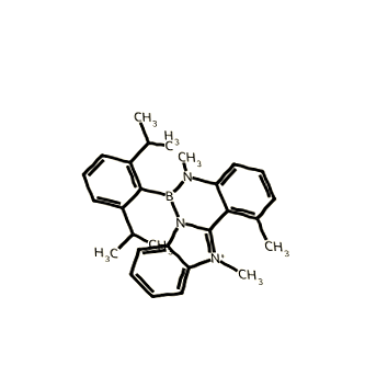 Cc1cccc2c1-c1n(c3ccccc3[n+]1C)B(c1c(C(C)C)cccc1C(C)C)N2C